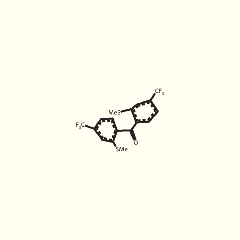 CSc1cc(C(F)(F)F)ccc1C(=O)c1ccc(C(F)(F)F)cc1SC